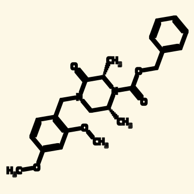 COc1ccc(CN2C[C@@H](C)N(C(=O)OCc3ccccc3)[C@@H](C)C2=O)c(OC)c1